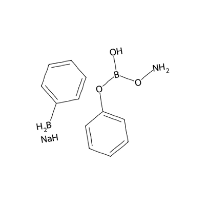 Bc1ccccc1.NOB(O)Oc1ccccc1.[NaH]